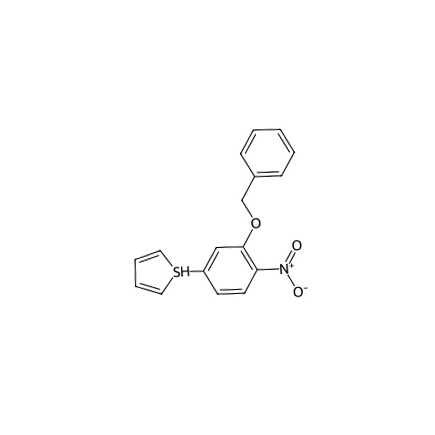 O=[N+]([O-])c1ccc([SH]2C=CC=C2)cc1OCc1ccccc1